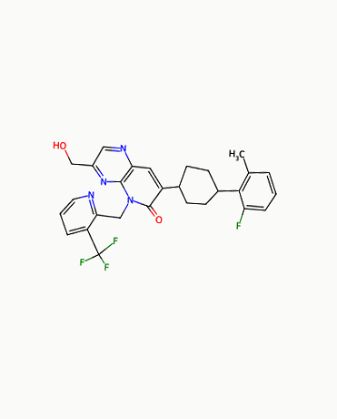 Cc1cccc(F)c1C1CCC(c2cc3ncc(CO)nc3n(Cc3ncccc3C(F)(F)F)c2=O)CC1